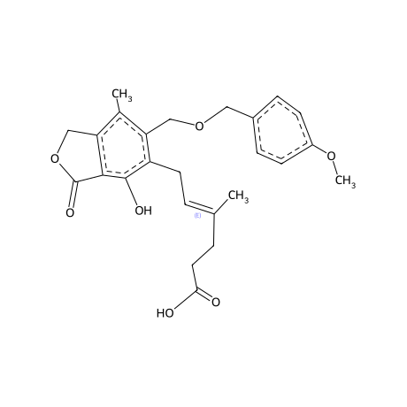 COc1ccc(COCc2c(C)c3c(c(O)c2C/C=C(\C)CCC(=O)O)C(=O)OC3)cc1